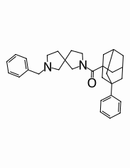 O=C(N1CCC2(CCN(Cc3ccccc3)C2)C1)C12CC3CC(C1)CC(c1ccccc1)(C3)C2